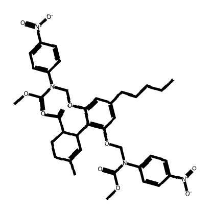 C=C(C)C1CCC(C)=CC1c1c(OCN(C(=O)OC)c2ccc([N+](=O)[O-])cc2)cc(CCCCC)cc1OCN(C(=O)OC)c1ccc([N+](=O)[O-])cc1